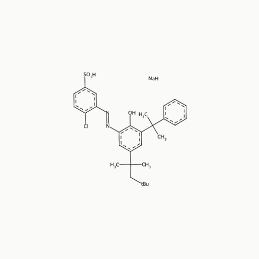 CC(C)(C)CC(C)(C)c1cc(N=Nc2cc(S(=O)(=O)O)ccc2Cl)c(O)c(C(C)(C)c2ccccc2)c1.[NaH]